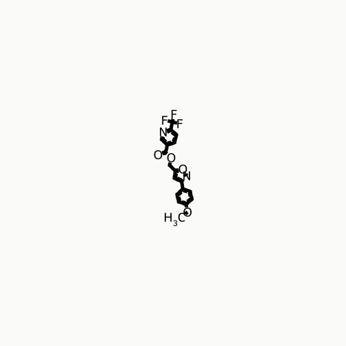 COc1ccc(-c2cc(COC(=O)c3ccc(C(F)(F)F)nc3)on2)cc1